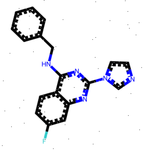 Fc1ccc2c(NCc3ccccc3)nc(-n3ccnc3)nc2c1